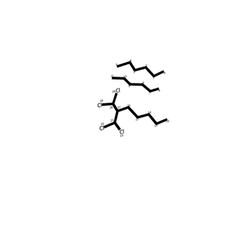 CCCCCC.CCCCCC.CCCCCC(C(Cl)Cl)C(Cl)Cl